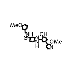 COc1cccc(CNC(=O)c2ccc3[nH]c(-c4cc(-c5cccnc5OC)ccc4O)nc3c2)c1